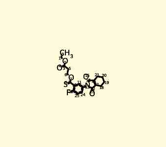 CCOC(=O)CCOC(=S)c1cc(N2C(=O)C3=C(CCCC3)C2=O)ccc1F